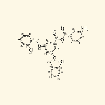 Nc1cccc(C(=O)OC(=O)c2cc(OCc3ccccc3Cl)cc(OCc3ccccc3Cl)c2)c1